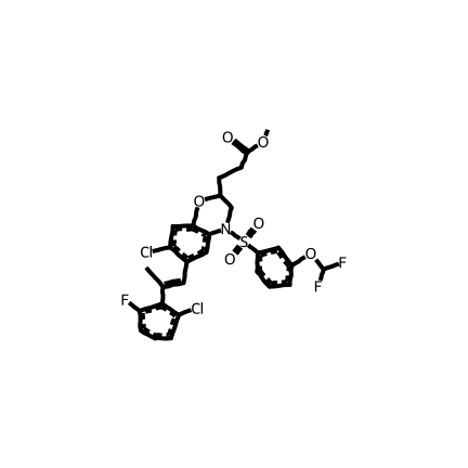 COC(=O)CCC1CN(S(=O)(=O)c2cccc(OC(F)F)c2)c2cc(/C=C(\C)c3c(F)cccc3Cl)c(Cl)cc2O1